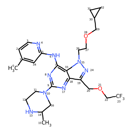 Cc1ccnc(Nc2nc(N3CCNC(C)C3)nc3c(COCC(F)(F)F)nn(CCOCC4CC4)c23)c1